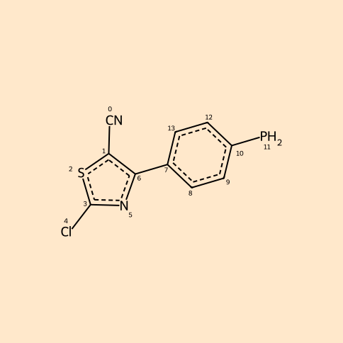 N#Cc1sc(Cl)nc1-c1ccc(P)cc1